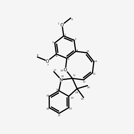 COc1cc2c(c(OC)c1)OC1(C=CC=C2)N(C)c2ccccc2C1(C)C